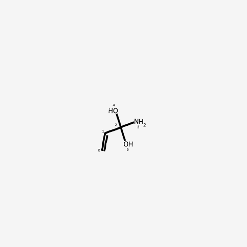 C=CC(N)(O)O